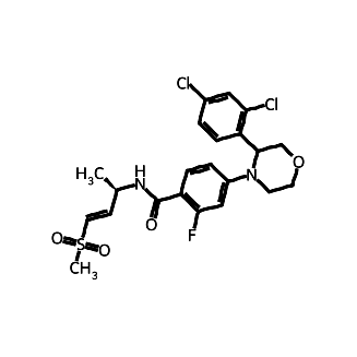 C[C@H](/C=C/S(C)(=O)=O)NC(=O)c1ccc(N2CCOCC2c2ccc(Cl)cc2Cl)cc1F